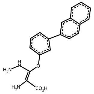 NN/C(Oc1cccc(-c2ccc3ccccc3c2)c1)=C(\N)C(=O)O